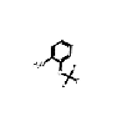 Nc1cc[c]cc1OC(F)(F)F